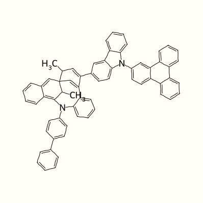 CC1C=C(c2ccc3c(c2)c2ccccc2n3-c2ccc3c4ccccc4c4ccccc4c3c2)C2=CC13C=c1ccccc1=C(C3C)N(c1ccc(-c3ccccc3)cc1)c1ccccc12